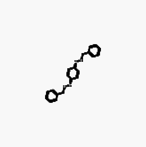 C1=CC(=NOCc2ccccc2)C=CC1=NOCc1ccccc1